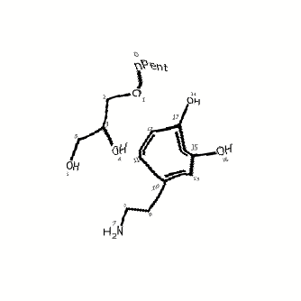 CCCCCOCC(O)CO.NCCc1ccc(O)c(O)c1